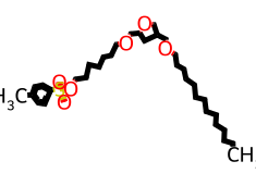 CCCCCCCCCCCCCCOCC1COC(COCCCCCCCOS(=O)(=O)c2ccc(C)cc2)C1